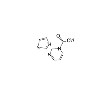 O=C(O)N1C=CC=NC1.c1cscn1